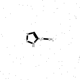 C1=CSSN1.CC